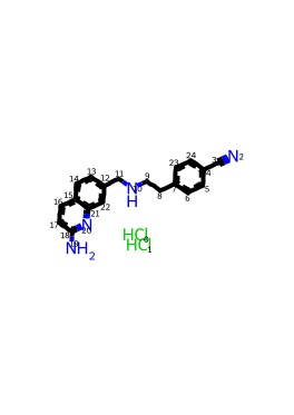 Cl.Cl.N#Cc1ccc(CCNCc2ccc3ccc(N)nc3c2)cc1